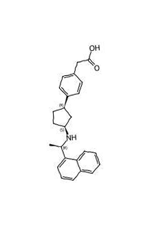 C[C@@H](N[C@H]1CC[C@@H](c2ccc(CC(=O)O)cc2)C1)c1cccc2ccccc12